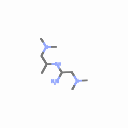 CC(CN(C)C)NC(N)CN(C)C